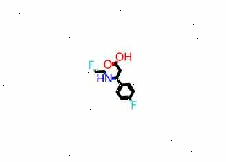 O=C(O)CC(NCCF)c1ccc(F)cc1